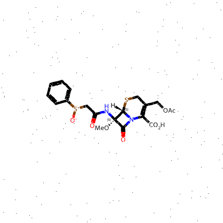 CO[C@@]1(NC(=O)C[S+]([O-])c2ccccc2)C(=O)N2C(C(=O)O)=C(COC(C)=O)CS[C@H]21